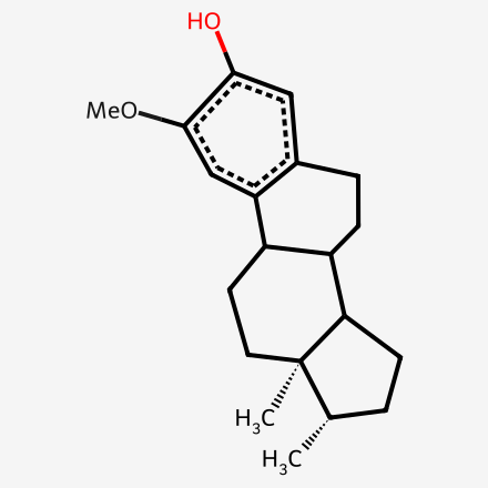 COc1cc2c(cc1O)CCC1C2CC[C@@]2(C)C1CC[C@@H]2C